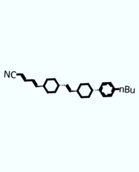 CCCCc1ccc([C@H]2CC[C@H](C=C[C@H]3CC[C@H](C=CC=CC#N)CC3)CC2)cc1